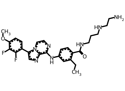 CCc1cc(Nc2nccn3c(-c4ccc(OC)c(F)c4F)cnc23)ccc1C(=O)NCCCNCCN